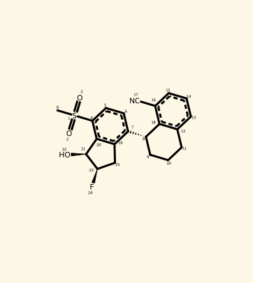 CS(=O)(=O)c1ccc([C@H]2CCCc3cccc(C#N)c32)c2c1[C@H](O)[C@H](F)C2